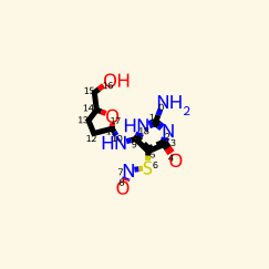 Nc1nc(=O)c(SN=O)c(NC2CCC(CO)O2)[nH]1